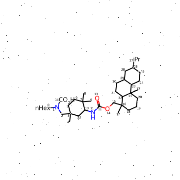 CCCCCCN(CC1(C)CCC(C)(C)C(NC(=O)OCC2(C)CCCC3(C)C4CCC(C(C)C)CC4CCC23)C1)C(=O)O